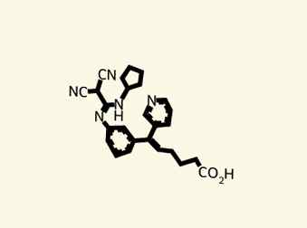 N#CC(C#N)C(=Nc1cccc(C(=CCCCC(=O)O)c2cccnc2)c1)NC1CCCC1